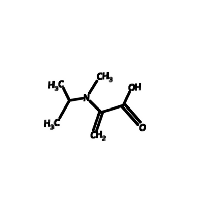 C=C(C(=O)O)N(C)C(C)C